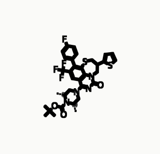 C[C@@H]1CN(c2nc(=O)n3c4c(c(-c5ccc(F)cc5)c(C(F)(F)F)cc24)SCC(c2cccs2)C3)C[C@H](C)N1C(=O)OC(C)(C)C